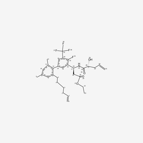 C=CCCCCc1cc(C)cc(C)c1-c1cc([C@H](CC(=O)OCC)NC(=O)[C@H](O)CC=C)c(F)c(C(F)(F)F)c1